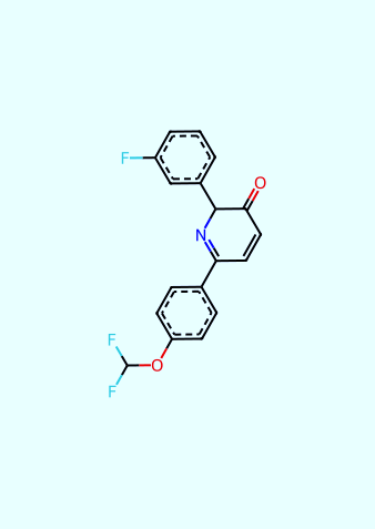 O=C1C=CC(c2ccc(OC(F)F)cc2)=NC1c1cccc(F)c1